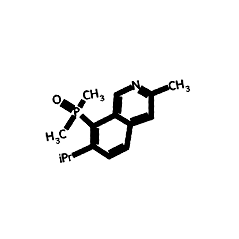 Cc1cc2ccc(C(C)C)c(P(C)(C)=O)c2cn1